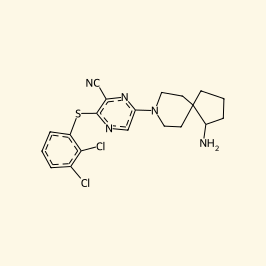 N#Cc1nc(N2CCC3(CCCC3N)CC2)cnc1Sc1cccc(Cl)c1Cl